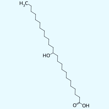 CCCCCCCCCCCCC(O)CCCCCCCCCCCC(=O)O